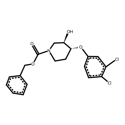 O=C(OCc1ccccc1)N1CC[C@@H](Oc2ccc(Cl)c(Cl)c2)[C@H](O)C1